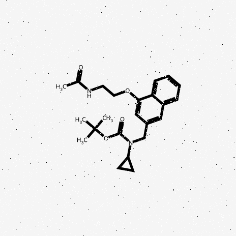 CC(=O)NCCOc1cc(CN(C(=O)OC(C)(C)C)C2CC2)cc2ccccc12